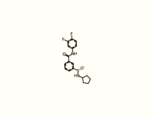 O=C(Nc1ccc(F)c(F)c1)c1cccc([S+]([O-])NC2CCCC2)c1